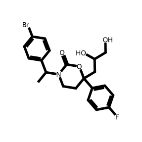 CC(c1ccc(Br)cc1)N1CCC(CC(O)CO)(c2ccc(F)cc2)OC1=O